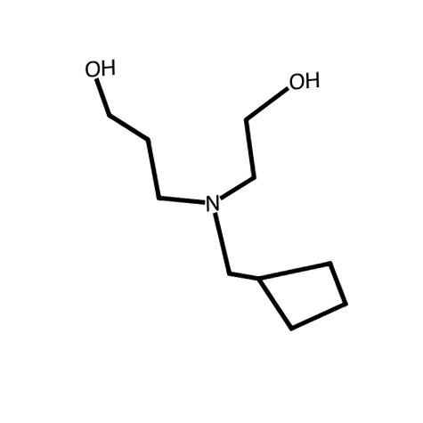 OCCCN(CCO)CC1CCC1